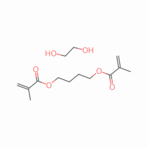 C=C(C)C(=O)OCCCCOC(=O)C(=C)C.OCCO